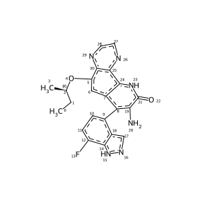 CC[C@@H](C)Oc1cc2c(-c3ccc(F)c4[nH]ncc34)c(N)c(=O)[nH]c2c2nccnc12